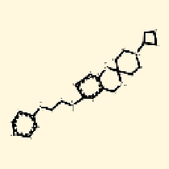 c1cc(NCCNc2ccc3c(c2)COC2(CCN(C4CCC4)CC2)O3)ccn1